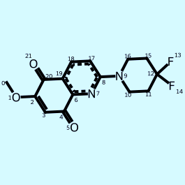 COC1=CC(=O)c2nc(N3CCC(F)(F)CC3)ccc2C1=O